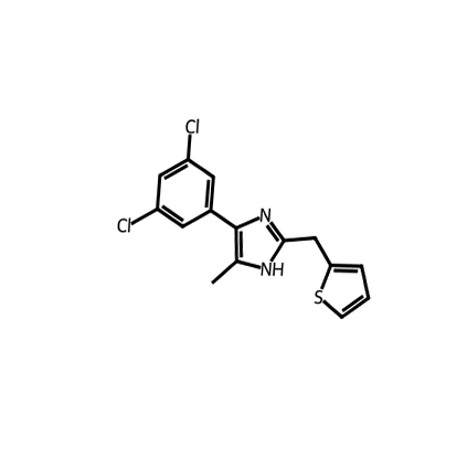 Cc1[nH]c(Cc2cccs2)nc1-c1cc(Cl)cc(Cl)c1